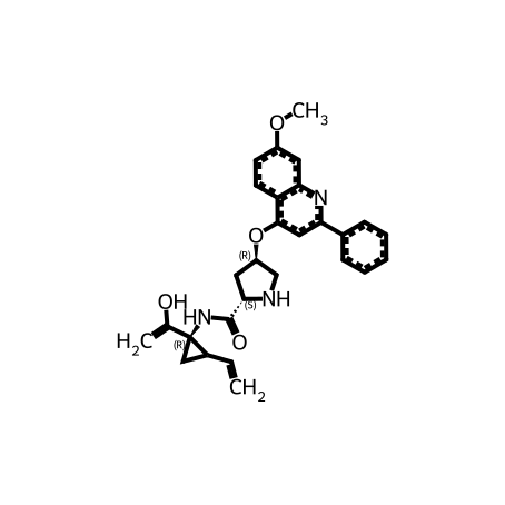 C=CC1C[C@]1(NC(=O)[C@@H]1C[C@@H](Oc2cc(-c3ccccc3)nc3cc(OC)ccc23)CN1)C(=C)O